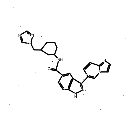 O=C(NC1CCCC(Cn2cncn2)C1)c1ccc2[nH]nc(-c3ccc4nccn4c3)c2c1